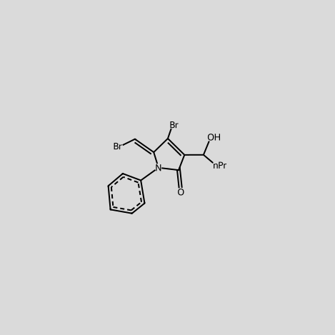 CCCC(O)C1=C(Br)/C(=C/Br)N(c2ccccc2)C1=O